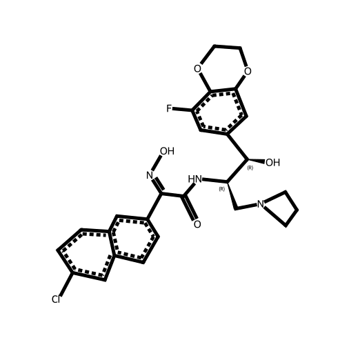 O=C(N[C@H](CN1CCC1)[C@H](O)c1cc(F)c2c(c1)OCCO2)C(=NO)c1ccc2cc(Cl)ccc2c1